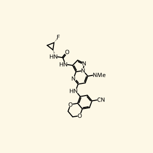 CNc1cc(Nc2cc(C#N)cc3c2OCCO3)nc2c(NC(=O)N[C@@H]3C[C@@H]3F)cnn12